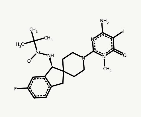 Cn1c(N2CCC3(CC2)Cc2ccc(F)cc2[C@H]3N[S+]([O-])C(C)(C)C)nc(N)c(I)c1=O